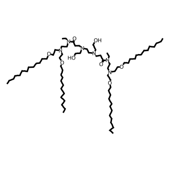 CCCCCCCCCCCCCOCCN(CCOCCCCCCCCCCCCC)CCN(CC)C(=O)CCN(CCO)CCN(CCO)CCC(=O)N(CC)CCN(CCOCCCCCCCCCCCCC)CCOCCCCCCCCCCCCC